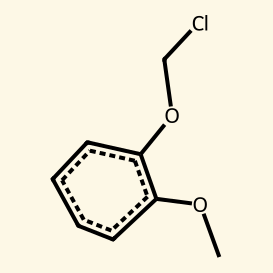 COc1ccccc1OCCl